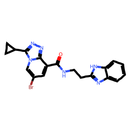 O=C(NCCc1nc2ccccc2[nH]1)c1cc(Br)cn2c(C3CC3)nnc12